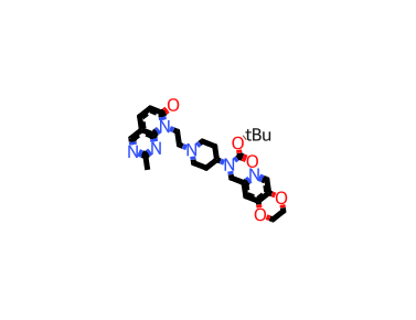 Cc1ncc2ccc(=O)n(CCN3CCC(N(Cc4cc5c(cn4)OCCO5)C(=O)OC(C)(C)C)CC3)c2n1